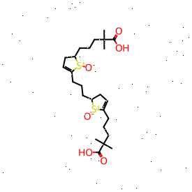 CC(C)(CCCC1=CCC(CCCC2=CCC(CCCC(C)(C)C(=O)O)[S+]2[O-])[S+]1[O-])C(=O)O